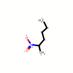 [CH2]C(CCCC)[N+](=O)[O-]